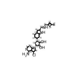 Nc1ncnc2c1c(Cl)cn2[C@@H]1C[C@H](c2ccc3cc(CNCC45CC(F)(C4)C5)[nH]c3c2)[C@@H](O)[C@H]1O